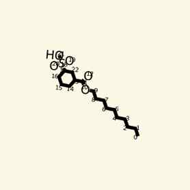 CCCCCCCCCCOC(=O)C1CCCC(S(=O)(=O)O)C1